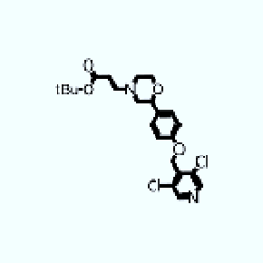 CC(C)(C)OC(=O)CCN1CCOC(c2ccc(OCc3c(Cl)cncc3Cl)cc2)C1